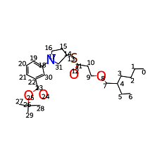 CCCCC(CC)COCCC(=O)SC1CCN(c2cccc(C(=O)OC(C)(C)C)c2)C1